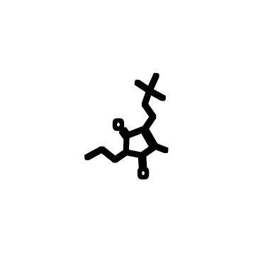 CCCC1C(=O)C(C)=C(CCC(C)(C)C)C1=O